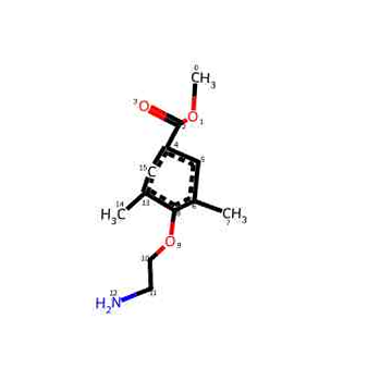 COC(=O)c1cc(C)c(OCCN)c(C)c1